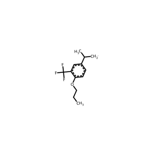 [CH2]C(C)c1ccc(OCCC)c(C(F)(F)F)c1